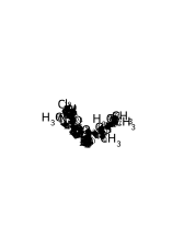 CN(CC[C@H](Oc1cccc(N2CCN(C)c3cc(Cl)ncc3C2=O)c1)c1cccs1)C(=O)OCCS(C)(C)C